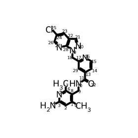 Cc1cc(N)nc(C)c1CNC(=O)c1ccnc(Cn2ncc3cc(Cl)cnc32)c1